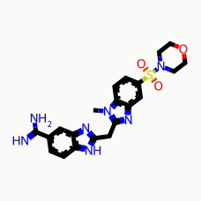 Cn1c(Cc2nc3cc(C(=N)N)ccc3[nH]2)nc2cc(S(=O)(=O)N3CCOCC3)ccc21